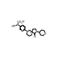 CCCN(C(=O)O)c1ccc(N2CCC[C@]3(CCN(C4CCOCC4)C3=O)C2)nc1